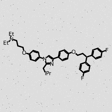 CCN(CC)CCCOc1ccc(-n2cc(-c3ccc(OCCC(c4ccc(F)cc4)c4ccc(F)cc4)cc3)nc2CC(C)C)cc1